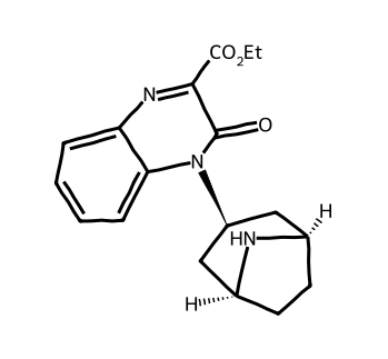 CCOC(=O)c1nc2ccccc2n([C@H]2C[C@H]3CC[C@@H](C2)N3)c1=O